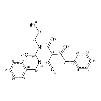 CC(C)CCN1C(=O)C(C(=O)Cc2ccccc2)C(=O)N(Cc2ccccc2)C1=O